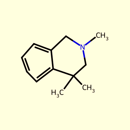 CN1Cc2ccccc2C(C)(C)C1